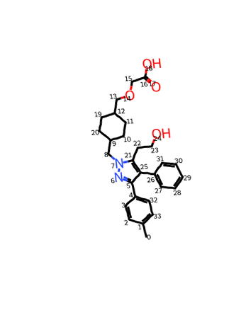 Cc1ccc(-c2nn(CC3CCC(COCC(=O)O)CC3)c(CCO)c2-c2ccccc2)cc1